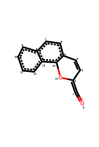 O=C=C1C=Cc2ccc3ccccc3c2O1